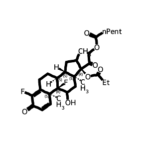 CCCCCC(=O)OCC(=O)[C@@]1(OC(=O)CC)C(C)C[C@H]2[C@@H]3CCC4=C(F)C(=O)C=C[C@]4(C)[C@@]3(F)C(O)C[C@@]21C